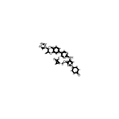 CC(Cn1cnnn1)Oc1cc(-c2cnc(Nc3cn(C4CCC(=O)CC4)nc3OC[C@@H]3CC3(F)F)nc2)ccc1Cl